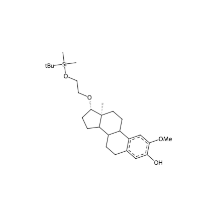 COc1cc2c(cc1O)CCC1C2CC[C@@]2(C)C1CC[C@@H]2OCCO[Si](C)(C)C(C)(C)C